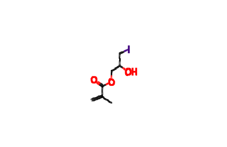 C=C(C)C(=O)OCC(O)CI